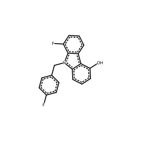 Oc1cccc2c1c1cccc(F)c1n2Cc1ccc(F)cc1